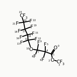 O=C(OC(F)(F)F)C(F)(F)C(F)(F)OC(F)(F)C(F)(F)C(F)(F)C(F)(F)C(F)(F)F